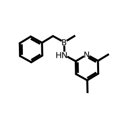 CB(Cc1ccccc1)Nc1cc(C)cc(C)n1